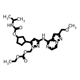 CCOC(=O)OCn1nc(Nc2nccn3nc(COC)cc23)cc1C1CCC(OC(=O)NC(C)C)C1